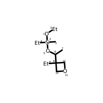 CCO[Si](C)(CC)OC(C)C1(CC)COC1